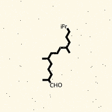 CC(C)CCCC(C)CCCC(C)CCCC(C)C=O